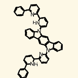 C1=CC(c2cccc(-n3c4ccccc4c4cc5c(cc43)c3ccccc3n5C3=CC=CC(c4cccc(-c5ccccc5)n4)N3)n2)NC(c2ccccc2)=C1